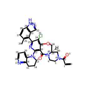 C=CC(=O)N1CCN2C(=O)c3c(N4CCCc5ncccc54)nc(-c4c(C)ccc5[nH]ncc45)c(Cl)c3OC[C@H]2C1